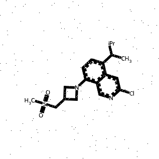 CC(C)C(C)c1ccc(N2CC(CS(C)(=O)=O)C2)c2cnc(Cl)cc12